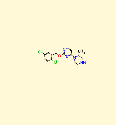 CC1CNCCN1c1ccnc(OCc2cc(Cl)ccc2Cl)n1